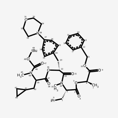 CC(C)C[C@@H](C(=O)O[C@H](C)C(=O)OCc1ccccc1)N(C)C(=O)[C@@H](Cc1ccc(N2CCOCC2)cc1)OC(=O)C(CC1CC1)N(C)C(=O)OC(C)(C)C